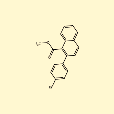 COC(=O)c1c(-c2ccc(Br)cc2)ccc2ccccc12